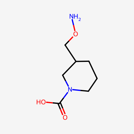 NOCC1CCCN(C(=O)O)C1